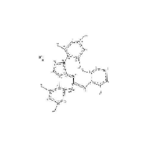 CC(=Nc1c(C)cccc1C)N=c1n(-c2c(C)cc(C)cc2C)ccn1-c1c(C)cc(C)cc1C.Cl